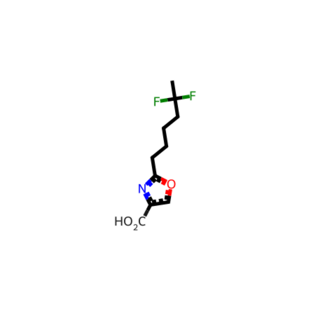 CC(F)(F)CCCCc1nc(C(=O)O)co1